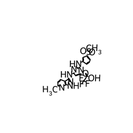 Cc1ccc2c(Nc3ccnc(Nc4cccc(S(C)(=O)=O)c4)n3)n[nH]c2n1.O=C(O)C(F)(F)F